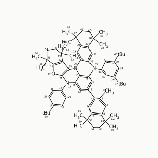 Cc1cc2c(cc1-c1cc3c4c(c1)N(c1ccc(C(C)(C)C)cc1)c1oc5c(c1B4c1cc4c(cc1N3c1cc(C(C)(C)C)cc(C(C)(C)C)c1)C(C)(C)CCC4(C)C)C(C)(C)CCC5(C)C)C(C)(C)CCC2(C)C